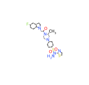 C[C@H]1CN(c2ccc(S(=O)(=O)N(N)c3nccs3)cc2)CCN1C(=O)Cn1ccc2cc(F)ccc21